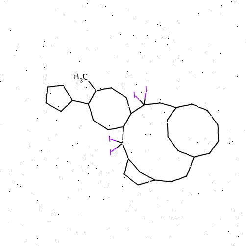 CC1CCC2C(CCC1C1CCCC1)C(I)(I)C1CCC(CCC3CCCCCC(CCC3)CC2(I)I)C1